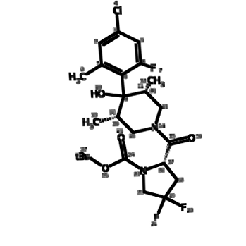 Cc1cc(Cl)cc(F)c1C1(O)[C@H](C)CN(C(=O)[C@@H]2CC(F)(F)CN2C(=O)OC(C)(C)C)C[C@@H]1C